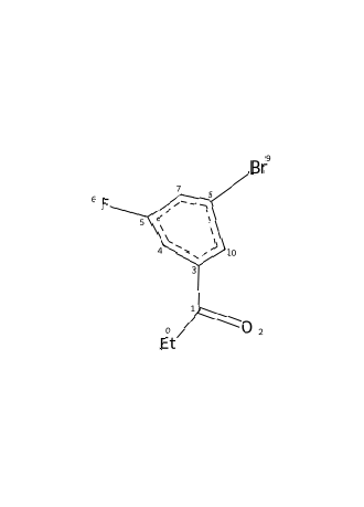 CCC(=O)c1cc(F)cc(Br)c1